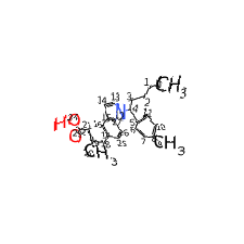 CCCCC(c1ccc(C)cc1)n1ccc2cc(CC(C)=CC(=O)O)ccc21